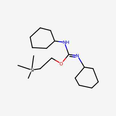 C[Si](C)(C)CCO/C(=N\C1CCCCC1)NC1CCCCC1